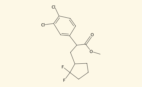 COC(=O)C(CC1CCCC1(F)F)c1ccc(Cl)c(Cl)c1